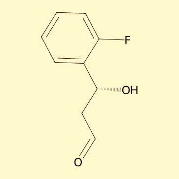 O=CC[C@@H](O)c1ccccc1F